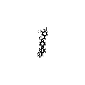 O=C(Cc1ccc(Cl)c(Cl)c1)N1CCN(C2=NN3C=NCC=C3C=C2)CC1